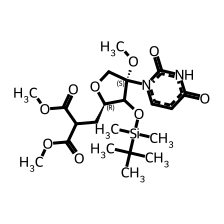 COC(=O)C(C[C@H]1OC[C@@](OC)(n2ccc(=O)[nH]c2=O)C1O[Si](C)(C)C(C)(C)C)C(=O)OC